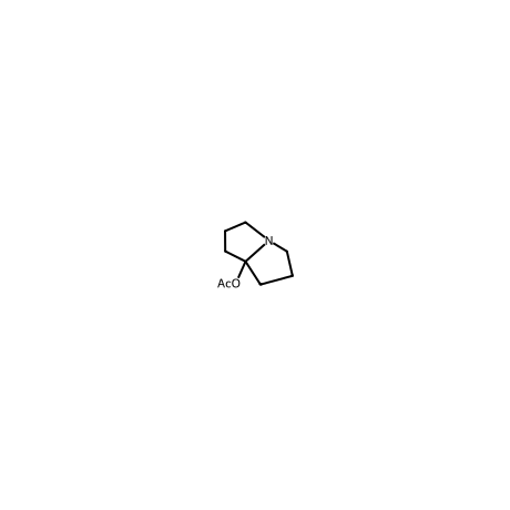 CC(=O)OC12CCCN1CCC2